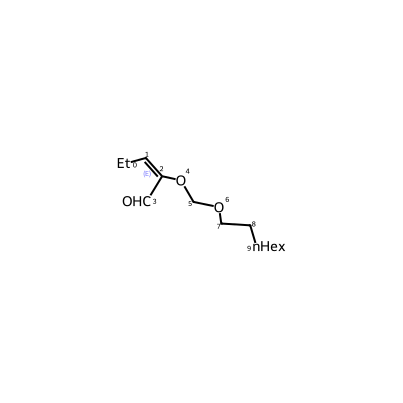 CC/C=C(\C=O)OCOCCCCCCCC